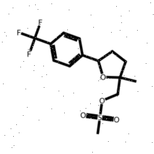 CC1(COS(C)(=O)=O)CCC(c2ccc(C(F)(F)F)cc2)O1